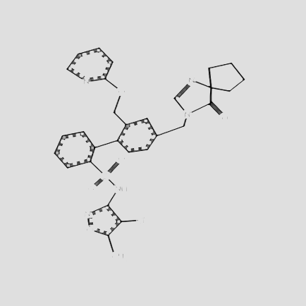 Cc1onc(NS(=O)(=O)c2ccccc2-c2ccc(CN3C=NC4(CCCC4)C3=O)cc2COc2ccccn2)c1Cl